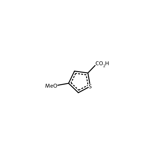 COc1csc(C(=O)O)c1